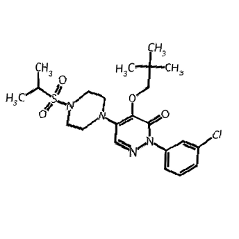 CC(C)S(=O)(=O)N1CCN(c2cnn(-c3cccc(Cl)c3)c(=O)c2OCC(C)(C)C)CC1